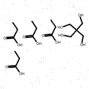 CCC(=O)O.CCC(=O)O.CCC(=O)O.CCC(=O)O.OCC(CO)(CO)CO